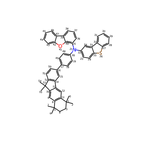 CC1(C)CCC(C)(C)c2cc3c(cc21)-c1cc(-c2ccc(N(c4ccc5sc6ccccc6c5c4)c4cccc5c4oc4ccccc45)cc2)ccc1C3(C)C